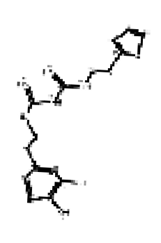 N=C(NCCc1ccc(O)c(O)c1)NC(=N)NCCc1cccs1